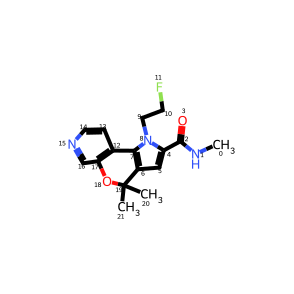 CNC(=O)c1cc2c(n1CCF)-c1ccncc1OC2(C)C